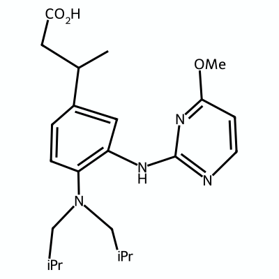 COc1ccnc(Nc2cc(C(C)CC(=O)O)ccc2N(CC(C)C)CC(C)C)n1